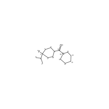 CC(C)C1(F)CCC(C(=O)N2CCCCC2)CC1